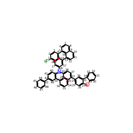 Fc1ccc(-c2cccc3cccc(-c4cccc(N(c5ccc(-c6ccc7oc8ccccc8c7c6)cc5)c5ccc(-c6ccccc6)cc5-c5ccccc5)c4)c23)cc1